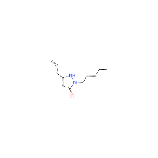 C=CCc1cc(=O)n(CCCCC)[nH]1